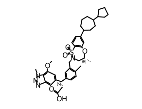 COc1cc([C@@H](CC(=O)O)c2ccc(C)c(CN3C[C@@H](C)Oc4cc(C5CCCC(C6CCCC6)CC5)ccc4S3(=O)=O)c2)cc2nnn(C)c12